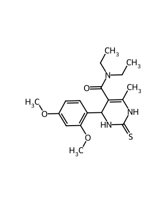 CCN(CC)C(=O)C1=C(C)NC(=S)NC1c1ccc(OC)cc1OC